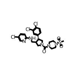 CS(=O)(=O)N1CCN(C(=O)N2CC(CNc3ccc(Cl)cn3)[C@@H](c3ccc(Cl)c(Cl)c3)C2)CC1